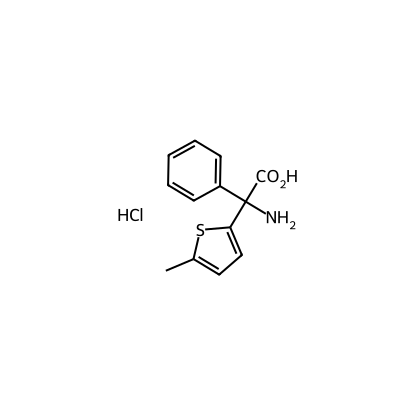 Cc1ccc(C(N)(C(=O)O)c2ccccc2)s1.Cl